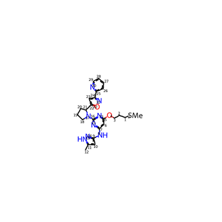 CSCCCOc1cc(Nc2cc(C)[nH]n2)nc(N2CCCC2c2cc(-c3ccccn3)no2)n1